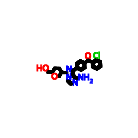 Nc1nccn2c(C3CCC(CO)OC3)nc(-c3ccc(C(=O)c4ccccc4Cl)cc3)c12